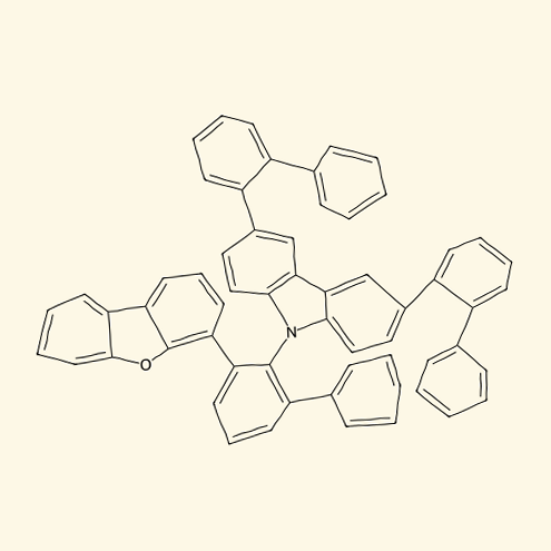 c1ccc(-c2ccccc2-c2ccc3c(c2)c2cc(-c4ccccc4-c4ccccc4)ccc2n3-c2c(-c3ccccc3)cccc2-c2cccc3c2oc2ccccc23)cc1